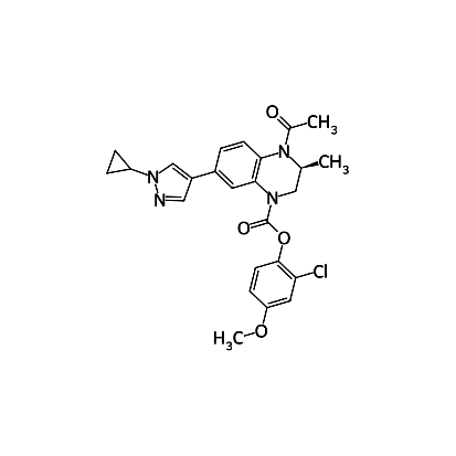 COc1ccc(OC(=O)N2C[C@H](C)N(C(C)=O)c3ccc(-c4cnn(C5CC5)c4)cc32)c(Cl)c1